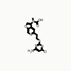 CN(C(=O)O)c1coc2cnc(CCSc3nc(N)cc(Cl)n3)cc12